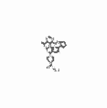 C=C(C)c1ncnc(C(C)C)c1-n1c(=O)nc(N2CCN(C(=O)OC(C)(C)C)CC2)c2cc(F)c(-c3ccccc3F)nc21